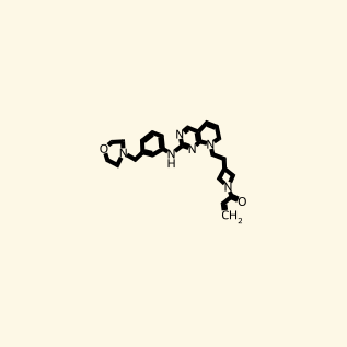 C=CC(=O)N1CC(CCN2CC=Cc3cnc(Nc4cccc(CN5CCOCC5)c4)nc32)C1